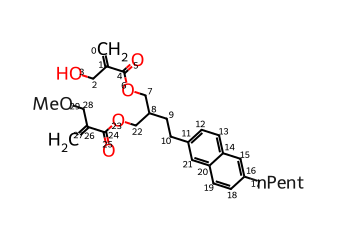 C=C(CO)C(=O)OCC(CCc1ccc2cc(CCCCC)ccc2c1)COC(=O)C(=C)COC